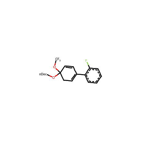 CCCCCCCCCCOC1(OC(F)(F)F)C=CC(c2ccccc2F)=CC1